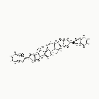 CC1(C)c2c(ccc3c4c(ccc23)-c2sc3cc(B5Oc6ccccc6O5)sc3c2C4(C)C)-c2sc3cc(B4Oc5ccccc5O4)sc3c21